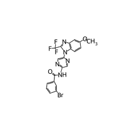 COc1ccc2c(c1)nc(C(F)(F)F)n2-c1cnc(NC(=O)c2cccc(Br)c2)cn1